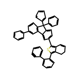 c1cccc(-c2ccccc2-c2sc(-c3ccc4c(c3)-c3cc(-c5ccccc5)ccc3C4(c3ccccc3)c3ccccc3)c3c2CCC=C3)c#1